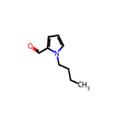 CCCCn1cccc1C=O